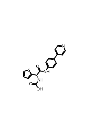 O=C(O)N[C@@H](C(=O)Nc1ccc(-c2ccncc2)cc1)c1cccs1